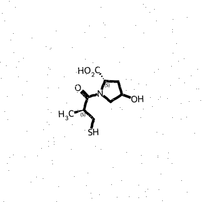 C[C@H](CS)C(=O)N1CC(O)C[C@H]1C(=O)O